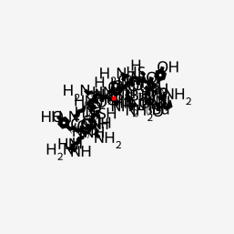 CC[C@H](C)[C@H](NC(=O)[C@@H](NC(=O)[C@@H]1CCCN1C(=O)[C@@H](N)C(C)C)[C@@H](C)CC)C(=O)N[C@@H](Cc1ccc(O)cc1)C(=O)N[C@@H](CS)C(=O)N[C@@H](CC(N)=O)C(=O)N[C@@H](CCCNC(=N)N)C(=O)N[C@@H](CCN)C(=O)N[C@H](C(=O)N[C@H](CCN)C(=O)N[C@@H](CCCCN)C(=O)N[C@H](C(=O)N[C@@H](CCN)C(=O)N[C@@H](CCCNC(=N)N)C(=O)N[C@@H](Cc1ccc(O)cc1)C(=O)O)C(C)(C)S)[C@@H](C)O